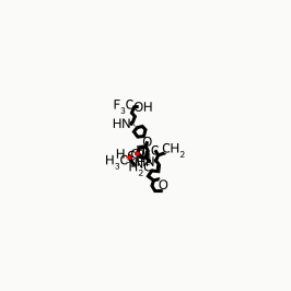 C=CC(C)C(/C=C\C(=C)CC1CCCOC1)Nc1cc(O[C@H]2CC[C@@H](C(=N)CC[C@@H](O)C(F)(F)F)CC2)cc(C)c1/N=C\C(=C)C